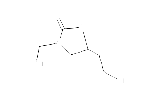 CCN1CC(CCCl)OC1=O